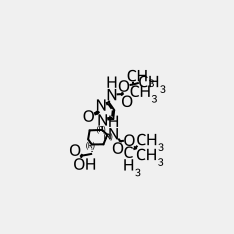 CC(C)(C)OC(=O)Nc1ccn([C@@H]2CC[C@@H](CC(=O)O)C[C@H]2NC(=O)OC(C)(C)C)c(=O)n1